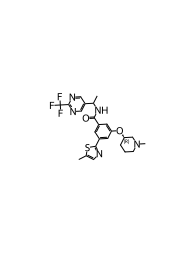 Cc1cnc(-c2cc(O[C@@H]3CCCN(C)C3)cc(C(=O)NC(C)c3cnc(C(F)(F)F)nc3)c2)s1